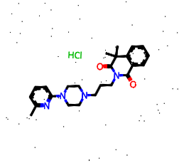 Cc1cccc(N2CCN(CCCN3C(=O)c4ccccc4C(C)(C)C3=O)CC2)n1.Cl